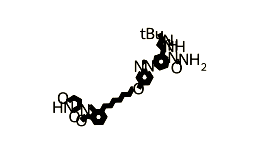 CC(C)(C)c1cc(-c2cc(-n3cnc4cc(OCCCCCCCc5cccc6c5CN(C5CCC(=O)NC5=O)C6=O)ccc43)ccc2NC(N)=O)[nH]n1